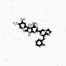 C[C@]1(c2cc(O)c(C(F)(F)F)cn2)C(=O)Nc2nc(-c3cn4ccnc4c(Cc4ccccc4F)n3)nc(N)c21